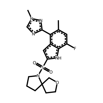 Cc1cc(F)c2[nH]c(S(=O)(=O)N3CCCC34CCOC4)cc2c1-c1ncn(C)n1